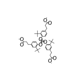 COC(=O)CCc1ccc(OP(Oc2ccc(CCC(=O)OC)cc2C(C)(C)C)Oc2ccc(CCC(=O)OC)cc2C(C)(C)C)c(C(C)(C)C)c1